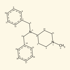 CN1CCC(N(Cc2ccccc2)Cc2ccccc2)CC1